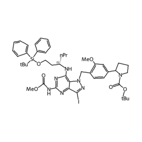 CCC[C@@H](CCO[Si](c1ccccc1)(c1ccccc1)C(C)(C)C)Nc1nc(NC(=O)OC)nc2c(I)nn(Cc3ccc(C4CCCN4C(=O)OC(C)(C)C)cc3OC)c12